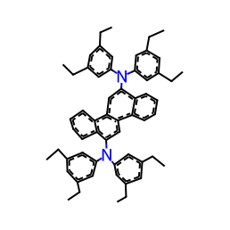 CCc1cc(CC)cc(N(c2cc(CC)cc(CC)c2)c2cc3c4ccccc4c(N(c4cc(CC)cc(CC)c4)c4cc(CC)cc(CC)c4)cc3c3ccccc23)c1